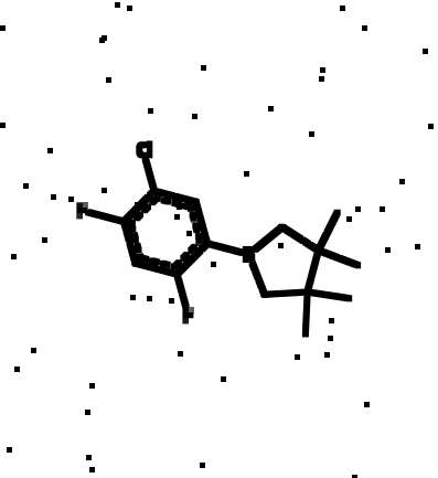 CC1(C)CB(c2cc(Cl)c(F)cc2F)CC1(C)C